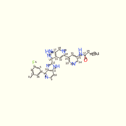 Cc1cc(F)cc(-c2nccc3[nH]c(-c4n[nH]c5cnc(-c6cncc(NC(=O)CC(C)(C)C)c6)cc45)nc23)c1